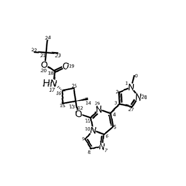 Cn1cc(-c2cc3nccn3c(O[C@]3(C)C[C@H](NC(=O)OC(C)(C)C)C3)n2)cn1